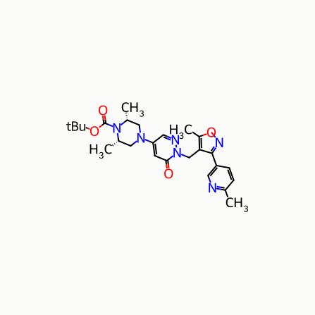 Cc1ccc(-c2noc(C)c2Cn2ncc(N3C[C@@H](C)N(C(=O)OC(C)(C)C)[C@@H](C)C3)cc2=O)cn1